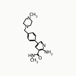 CNC(=O)c1cc(-c2ccc(CN3CCN(C)CC3)cc2)cnc1N